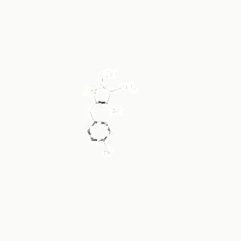 CCCCN1NC(Cc2ccc(Br)cc2)=C(C(C)=O)C1C